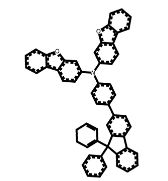 C1=CC(C2(c3ccccc3)c3ccccc3-c3ccc(-c4ccc(N(c5ccc6c(c5)oc5ccccc56)c5ccc6c(c5)oc5ccccc56)cc4)cc32)=CCC1